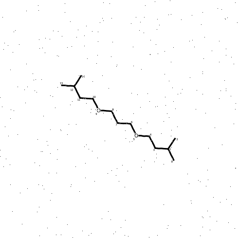 CC(C)CCOCCCOCCC(C)C